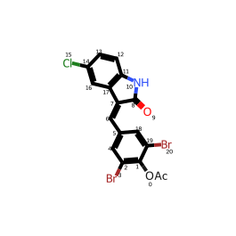 CC(=O)Oc1c(Br)cc(C=C2C(=O)Nc3ccc(Cl)cc32)cc1Br